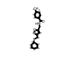 Cc1ccc(C(=O)NCc2cc(CSc3ccccc3)no2)cc1